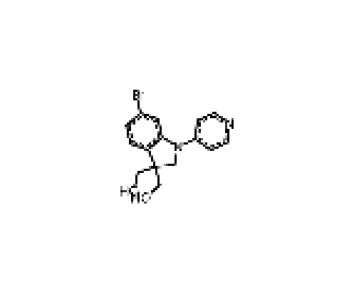 OCC1(CO)CN(c2ccncc2)c2cc(Br)ccc21